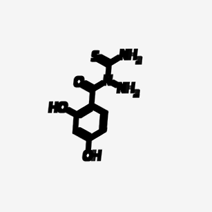 NC(=S)N(N)C(=O)c1ccc(O)cc1O